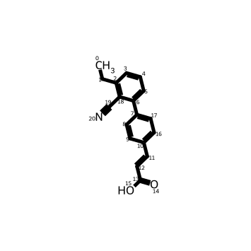 CCc1cccc(-c2ccc(C=CC(=O)O)cc2)c1C#N